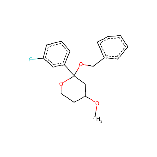 COC1CCOC(OCc2ccccc2)(c2cccc(F)c2)C1